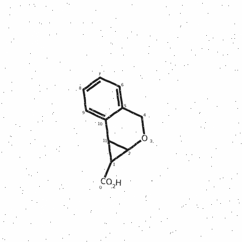 O=C(O)C1C2OCc3ccccc3C21